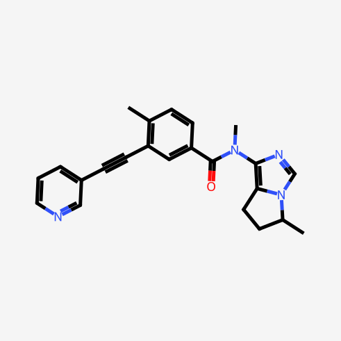 Cc1ccc(C(=O)N(C)c2ncn3c2CCC3C)cc1C#Cc1cccnc1